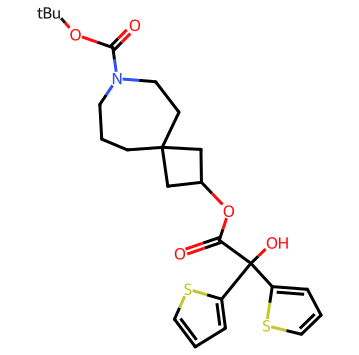 CC(C)(C)OC(=O)N1CCCC2(CC1)CC(OC(=O)C(O)(c1cccs1)c1cccs1)C2